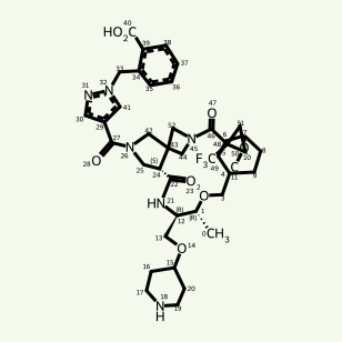 C[C@@H](OCC12CCC(CC1)OC2)[C@@H](COC1CCNCC1)NC(=O)[C@@H]1CN(C(=O)c2cnn(Cc3ccccc3C(=O)O)c2)CC12CN(C(=O)C1(C(F)(F)F)CC1)C2